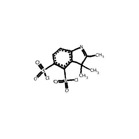 CC1=Nc2ccc(S(=O)(=O)Cl)c(S(=O)(=O)Cl)c2C1(C)C